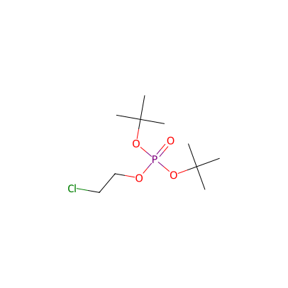 CC(C)(C)OP(=O)(OCCCl)OC(C)(C)C